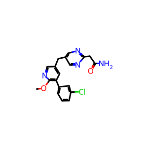 COc1ncc(Cc2cnc(CC(N)=O)nc2)cc1-c1cccc(Cl)c1